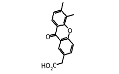 Cc1ccc2c(=O)c3cc(CC(=O)O)ccc3oc2c1C